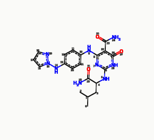 CC(C)CC(Nc1nc(Nc2ccc(Nn3cccn3)cc2)c(C(N)=O)c(=O)[nH]1)C(N)=O